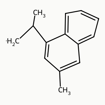 [CH2]C(C)c1cc(C)cc2ccccc12